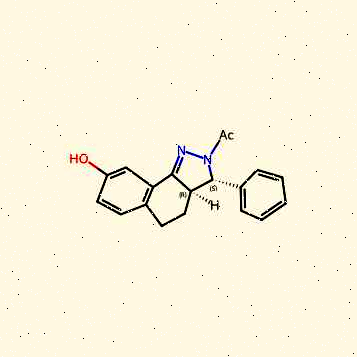 CC(=O)N1N=C2c3cc(O)ccc3CC[C@@H]2[C@H]1c1ccccc1